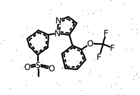 CS(=O)(=O)c1cccc(-n2nccc2-c2c[c]ccc2OC(F)(F)F)c1